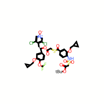 CC(C)(C)OC(=O)CS(=O)(=O)Nc1ccc(C(=O)SCC(=O)O[C@@H](Cc2c(Cl)c[n+]([O-])cc2Cl)c2ccc(OC(F)F)c(OCC3CC3)c2)cc1OCC1CC1